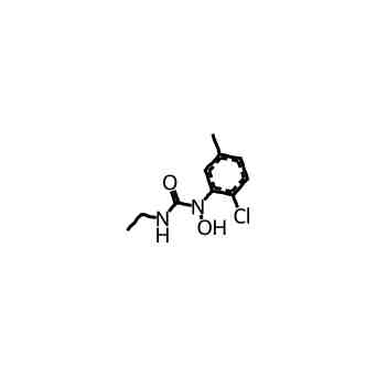 CCNC(=O)N(O)c1cc(C)ccc1Cl